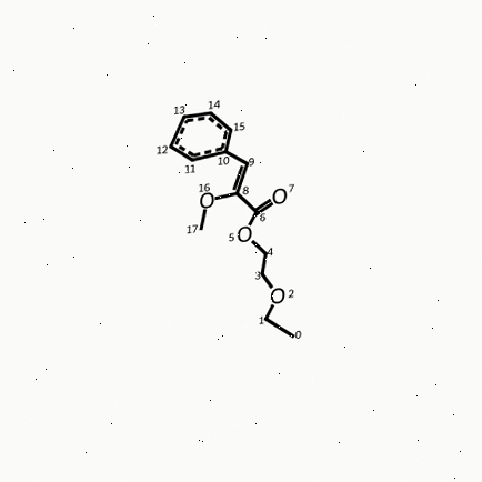 CCOCCOC(=O)C(=Cc1ccccc1)OC